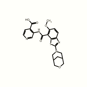 COc1ccc2nc(N3CC4COCC(C4)C3)sc2c1C(=O)Nc1cnccc1C(=O)O